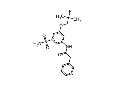 CC(C)(F)COc1cc(NC(=O)Cc2cccnc2)cc(S(N)(=O)=O)c1